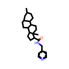 CC1CCC2C(CCC3C2CCC2(C)C(C(=O)NCc4ccncc4)CCC32)C1